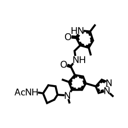 CC(=O)NC1CCC(N(C)c2cc(-c3cnn(C)c3)cc(C(=O)NCc3c(C)cc(C)[nH]c3=O)c2C)CC1